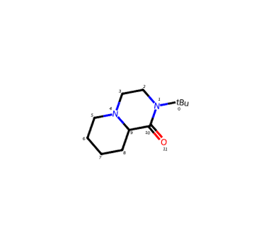 CC(C)(C)N1CCN2CCCCC2C1=O